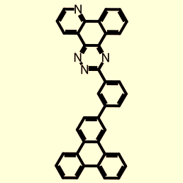 c1cc(-c2ccc3c4ccccc4c4ccccc4c3c2)cc(-c2nnc3c4cccnc4c4ccccc4c3n2)c1